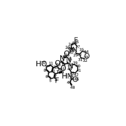 C#Cc1c(F)ccc2cc(O)cc(C3COc4c(nc(OC[C@]5(C)C[C@@H](F)CN5CC5CCOCC5)nc4N4CCCCC(NC(=O)C=C)C4)O3)c12